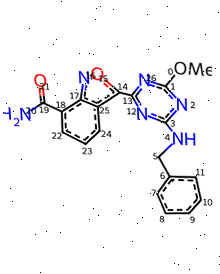 COc1nc(NCc2ccccc2)nc(-c2onc3c(C(N)=O)cccc23)n1